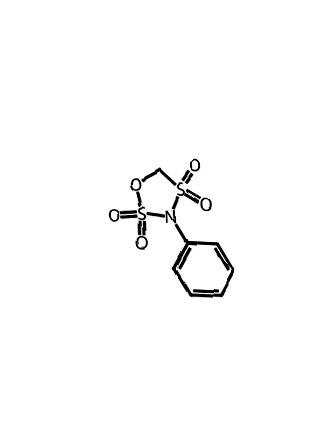 O=S1(=O)COS(=O)(=O)N1c1ccccc1